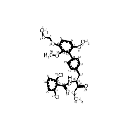 COCOc1ccc(OC)c(-c2ccc(C[C@H](NC(=O)c3c(Cl)cccc3Cl)C(=O)OC)cc2)c1OC